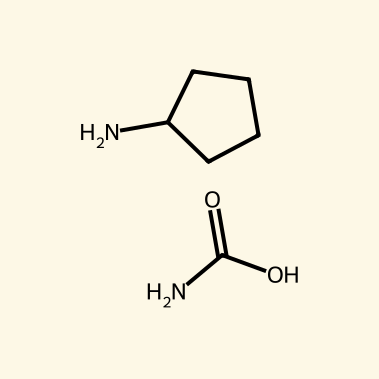 NC(=O)O.NC1CCCC1